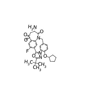 CC(C)(C)c1nnc(-c2cc3c(cc2F)S(=O)(=O)C[C@H](N)C(=O)N3Cc2ccc(OC3CCCC3)cc2)o1